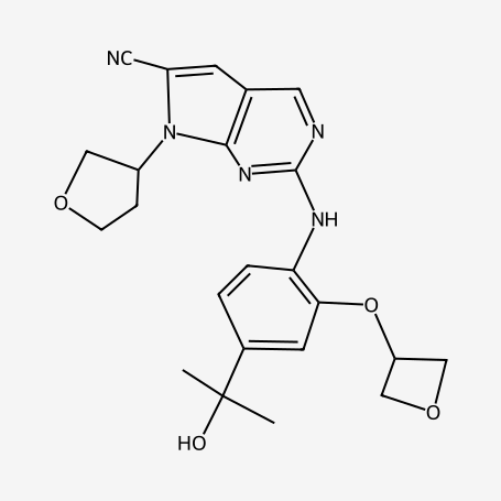 CC(C)(O)c1ccc(Nc2ncc3cc(C#N)n(C4CCOC4)c3n2)c(OC2COC2)c1